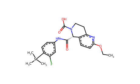 CCOc1ccc2c(n1)CCN(C(=O)O)[C@H]2C(=O)Nc1ccc([Si](C)(C)C)c(F)c1